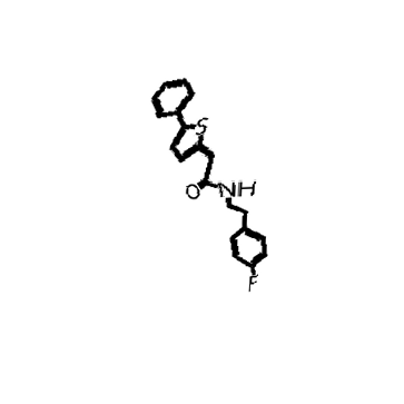 O=C(Cc1ccc(-c2ccccc2)s1)NCCc1ccc(F)cc1